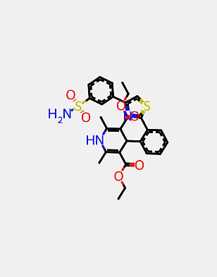 CCOC(=O)C1=C(C)NC(C)=C(C(=O)OCC)C1c1ccccc1-c1nc(-c2cccc(S(N)(=O)=O)c2)cs1